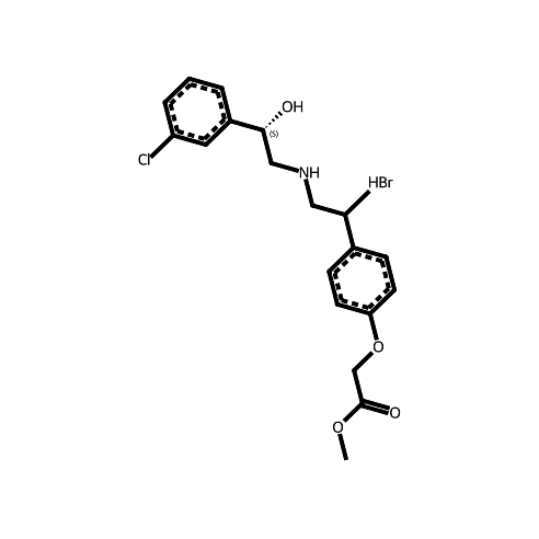 Br.COC(=O)COc1ccc(C(C)CNC[C@@H](O)c2cccc(Cl)c2)cc1